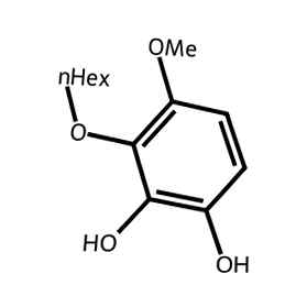 CCCCCCOc1c(OC)ccc(O)c1O